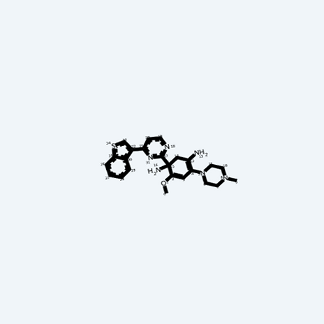 COC1=CC(N2CCN(C)CC2)=C(N)CC1(N)c1nccc(-c2csc3ccccc23)n1